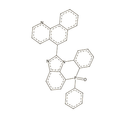 O=P1(c2ccccc2)c2ccccc2-n2c(-c3cc4ccccc4c4ncccc34)nc3cccc1c32